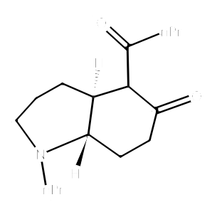 CCCC(=O)C1C(=O)CC[C@H]2[C@H]1CCCN2CCC